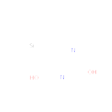 Cc1nc(O)nc(O)c1[Si](C)(C)C